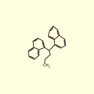 [CH2]CCC(c1cccc2ccccc12)c1cccc2ccccc12